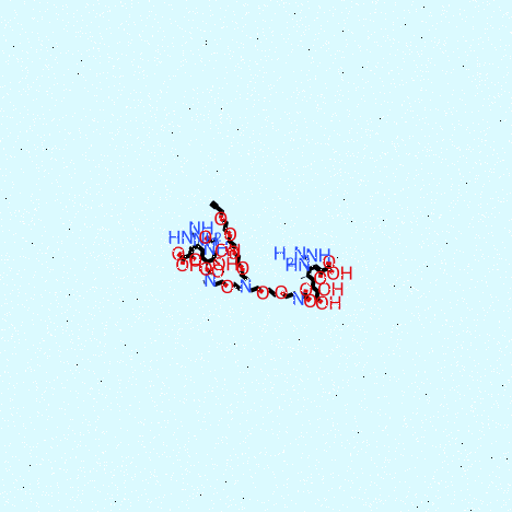 C#CCOCCOCCOCCOCCN(CCOCCOCCN(C)C(=O)O[C@@H]([C@@H]1OC(C(=O)O)=C[C@H](NC(=N)N)[C@H]1C)[C@H](O)CO)CCOCCN(C)C(=O)O[C@@H]([C@@H]1OC(C(=O)O)=C[C@H](NC(=N)N)[C@H]1NC(C)=O)[C@H](O)CO